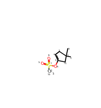 CC1(C)CC=C(OS(=O)(=O)C(F)(F)F)C1